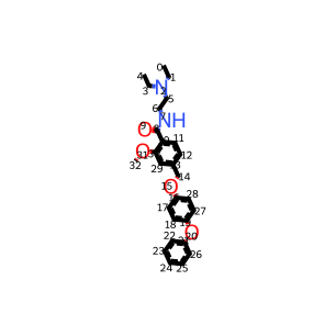 CCN(CC)CCNC(=O)c1ccc(COc2ccc(Oc3ccccc3)cc2)cc1OC